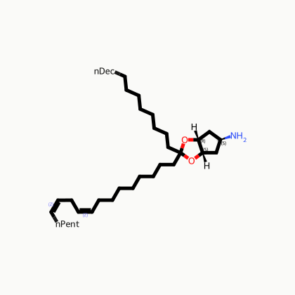 CCCCC/C=C\C/C=C\CCCCCCCCC1(CCCCCCCCCCCCCCCCCC)O[C@H]2C[C@H](N)C[C@H]2O1